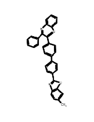 Cc1ccc2nc(-c3ccc(-c4ccc(-c5nc6ccccc6nc5-c5ccccc5)cc4)cc3)oc2c1